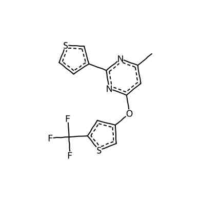 Cc1cc(Oc2csc(C(F)(F)F)c2)nc(-c2ccsc2)n1